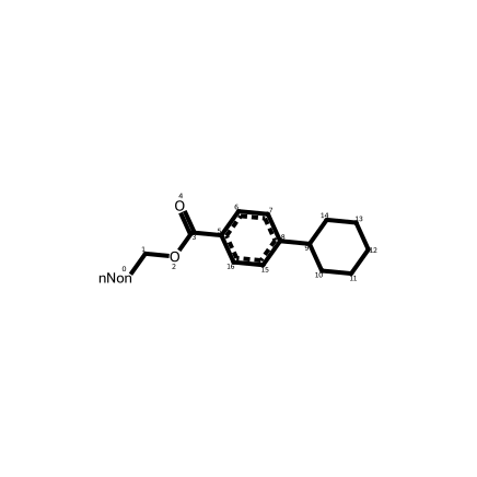 CCCCCCCCCCOC(=O)c1ccc(C2CCCCC2)cc1